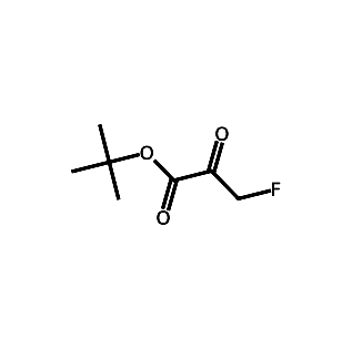 CC(C)(C)OC(=O)C(=O)CF